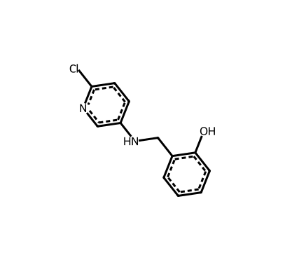 Oc1ccccc1CNc1ccc(Cl)nc1